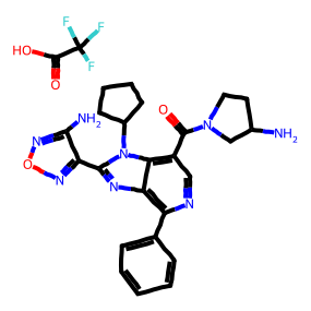 Nc1nonc1-c1nc2c(-c3ccccc3)ncc(C(=O)N3CCC(N)C3)c2n1C1CCCC1.O=C(O)C(F)(F)F